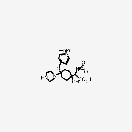 CCCC.O=C(O)C(N=S(=O)=O)C1(O)CCC(Oc2ccncc2)(N2CCNCC2)CC1